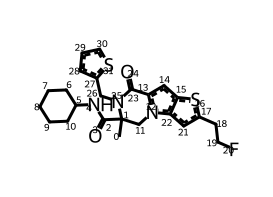 CC1(C(=O)NC2CCCCC2)Cn2c(cc3sc(CCF)cc32)C(=O)N1Cc1cccs1